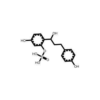 O=P(O)(O)Oc1cc(O)ccc1C(O)CCc1ccc(O)cc1